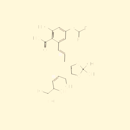 Cc1cc(OC(F)F)cc(/C=C/C[C@@H]2OC(C)(C)O[C@@H]2C(C)/C=C\C(C)[C@H](C)O)c1C(=O)O